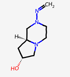 C=NN1CCN2C[C@H](O)C[C@H]2C1